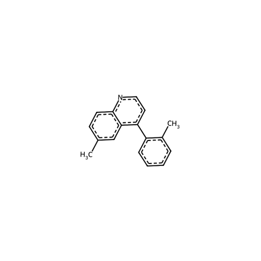 Cc1ccc2nccc(-c3ccccc3C)c2c1